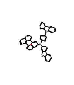 c1ccc(-c2cccc3cccc(-c4cccc(N(c5ccc(-n6c7ccccc7c7ccccc76)cc5)c5ccc6c(c5)sc5ccccc56)c4)c23)cc1